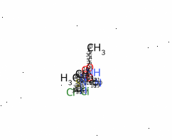 CCCCCCCCOC(=O)NC(=O)OC(Cc1ccncc1)c1nc(C(C)C)c(Sc2cc(Cl)cc(Cl)c2)[nH]1